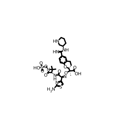 CC1(C)[C@H](NC(=O)/C(=N\O[C@](C)(C(=O)O)[C@H]2CCc3cc(C(=N)N[C@@H]4CCCNC4)ccc3O2)c2csc(N)n2)C(=O)N1OS(=O)(=O)O